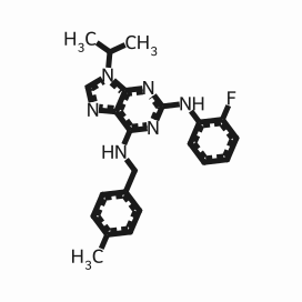 Cc1ccc(CNc2nc(Nc3ccccc3F)nc3c2ncn3C(C)C)cc1